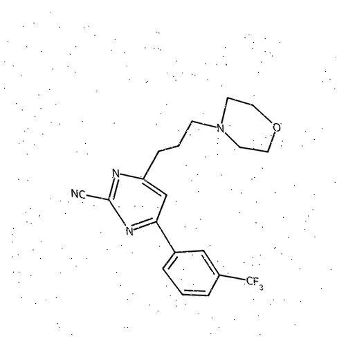 N#Cc1nc(CCCN2CCOCC2)cc(-c2cccc(C(F)(F)F)c2)n1